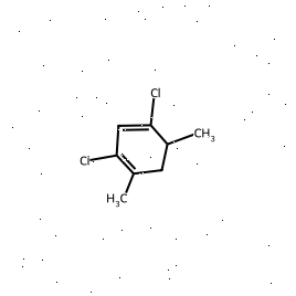 CC1=C(Cl)C=C(Cl)C(C)C1